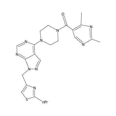 CCCc1nc(Cn2ncc3c(N4CCN(C(=O)c5cnc(C)nc5C)CC4)ncnc32)cs1